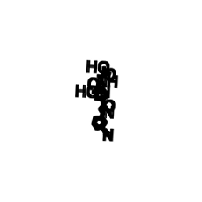 N#Cc1cccc(-c2cc(-c3cnc(C(=O)NCC(=O)O)c(O)c3)on2)c1